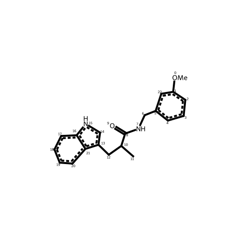 COc1cccc(CNC(=O)C(C)Cc2c[nH]c3ccccc23)c1